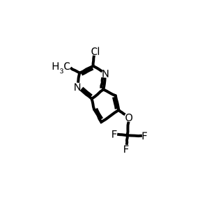 Cc1nc2ccc(OC(F)(F)F)cc2nc1Cl